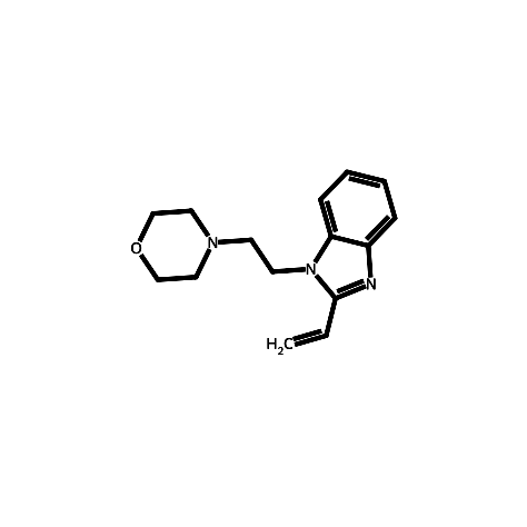 C=Cc1nc2ccccc2n1CCN1CCOCC1